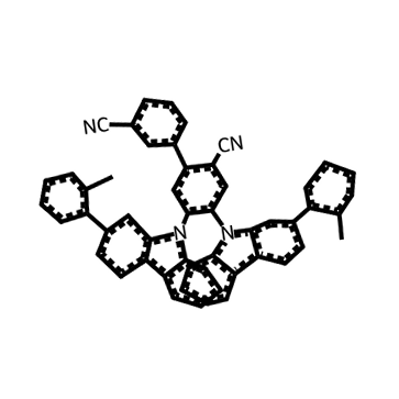 Cc1ccccc1-c1ccc2c3ccccc3n(-c3cc(C#N)c(-c4cccc(C#N)c4)cc3-n3c4ccccc4c4ccc(-c5ccccc5C)cc43)c2c1